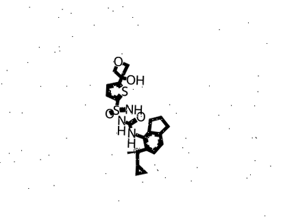 C[C@@H](c1ccc2c(c1NC(=O)NS(=N)(=O)c1ccc(C3(O)COC3)s1)CCC2)C1CC1